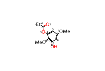 C[CH]C(=O)Oc1cc(OC)cc(O)c1OC